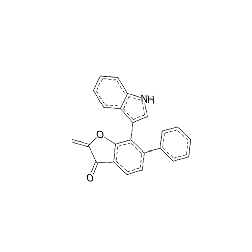 C=C1Oc2c(ccc(-c3ccccc3)c2-c2c[nH]c3ccccc23)C1=O